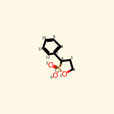 O=S1(=O)OCCC1c1ccccc1